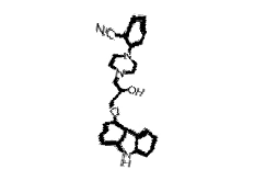 N#Cc1ccccc1N1CCN(CC(O)COc2cccc3[nH]c4ccccc4c23)CC1